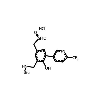 CC(C)(C)NCc1cc(C[SH](=O)=O)cc(-c2ccc(C(F)(F)F)nc2)c1O.Cl